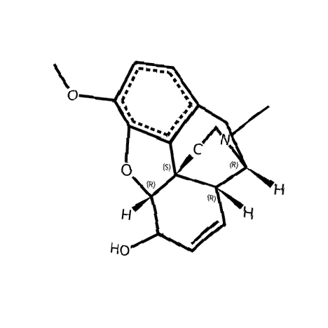 COc1ccc2c3c1O[C@H]1[C](O)C=C[C@H]4[C@@H](C2)N(C)CC[C@]314